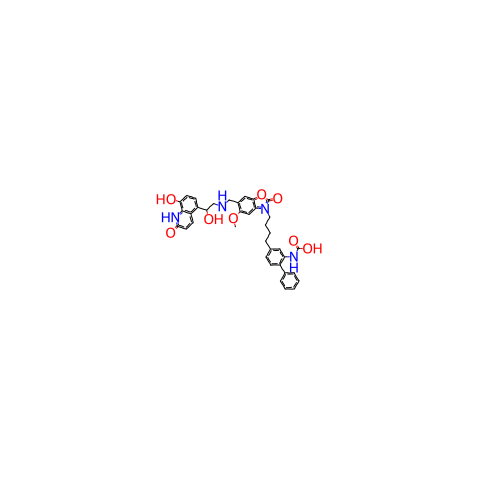 COc1cc2c(cc1CNCC(O)c1ccc(O)c3[nH]c(=O)ccc13)oc(=O)n2CCCCc1ccc(-c2ccccc2)c(NC(=O)O)c1